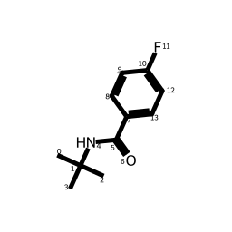 CC(C)(C)NC(=O)c1c[c]c(F)cc1